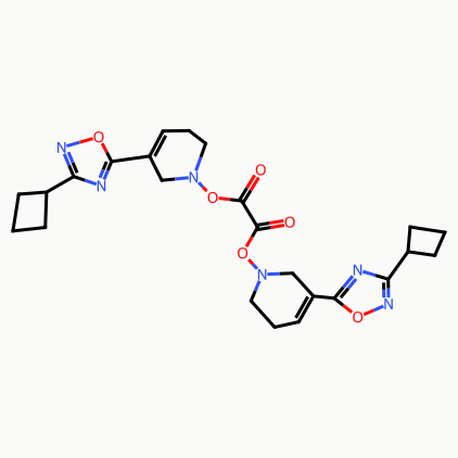 O=C(ON1CCC=C(c2nc(C3CCC3)no2)C1)C(=O)ON1CCC=C(c2nc(C3CCC3)no2)C1